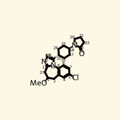 COC1Cc2cc(Cl)ccc2-n2c(nnc2[C@H]2CC[C@H](N3CCCC3=O)CC2)C1